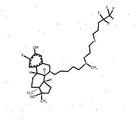 CN(CCCCC[C@@H]1Cc2cc(O)c(F)cc2[C@H]2CC[C@@]3(C)[C@@H](CC[C@]3(C)O)[C@H]12)CCCSCCCC(F)(F)C(F)(F)F